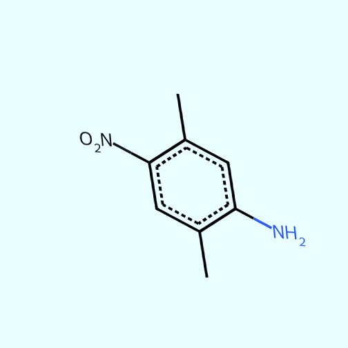 Cc1cc([N+](=O)[O-])c(C)cc1N